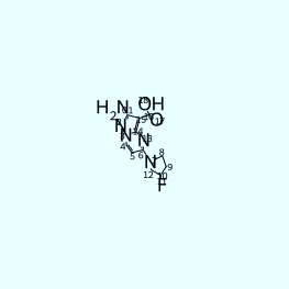 Nc1nn2ccc(N3CCC(F)C3)nc2c1C(=O)O